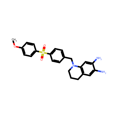 COc1ccc(S(=O)(=O)c2ccc(CN3CCCc4cc(N)c(N)cc43)cc2)cc1